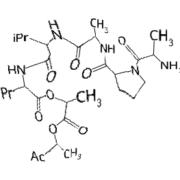 CC(=O)C(C)OC(=O)C(C)OC(=O)C(NC(=O)C(NC(=O)C(C)NC(=O)C1CCCN1C(=O)C(C)N)C(C)C)C(C)C